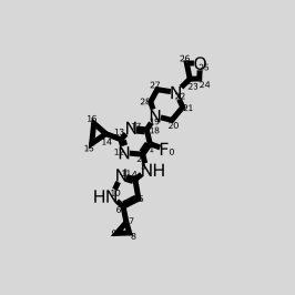 Fc1c(Nc2cc(C3CC3)[nH]n2)nc(C2CC2)nc1N1CCN(C2COC2)CC1